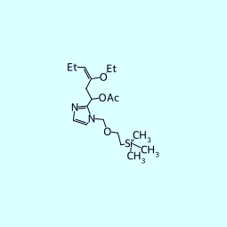 CC/C=C(\CC(OC(C)=O)c1nccn1COCC[Si](C)(C)C)OCC